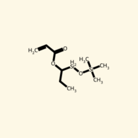 C=CC(=O)OC(CC)[SiH2]O[Si](C)(C)C